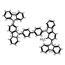 CC1c2c(c3ccccc3n2-c2ccc(-c3ccc(N4c5cc(-n6c7ccccc7c7ccccc76)ccc5C5C=CC=CC54)cc3)cc2)C=CC1n1c2ccccc2c2ccccc21